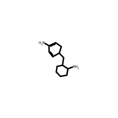 NC1=CCC(CC2CCCCC2N)C=C1